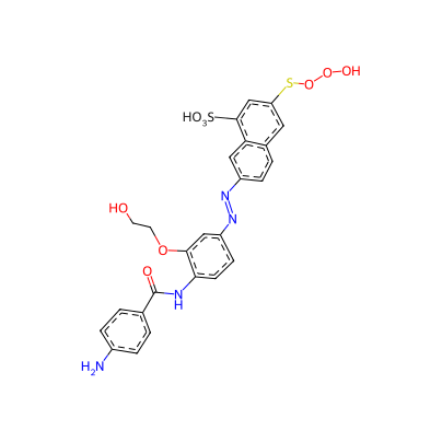 Nc1ccc(C(=O)Nc2ccc(/N=N/c3ccc4cc(SOOO)cc(S(=O)(=O)O)c4c3)cc2OCCO)cc1